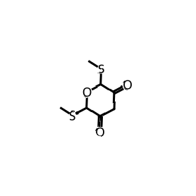 CSC1OC(SC)C(=O)CC1=O